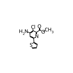 COC(=O)c1nc(-c2cccs2)cc(N)c1Cl